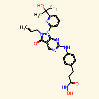 C=CCn1c(=O)c2cnc(Nc3ccc(CCC(=O)NO)cc3)nc2n1-c1cccc(C(C)(C)O)n1